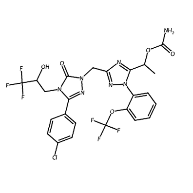 CC(OC(N)=O)c1nc(Cn2nc(-c3ccc(Cl)cc3)n(CC(O)C(F)(F)F)c2=O)nn1-c1ccccc1OC(F)(F)F